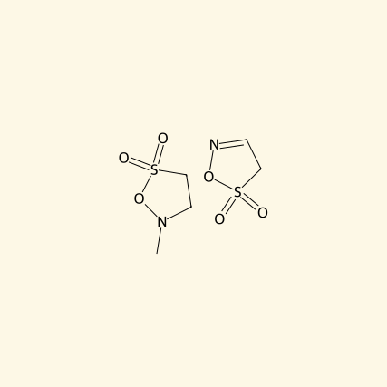 CN1CCS(=O)(=O)O1.O=S1(=O)CC=NO1